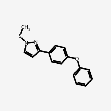 CSn1ccc(-c2ccc(Oc3ccccc3)cc2)n1